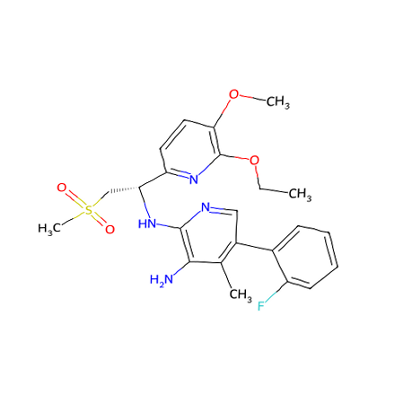 CCOc1nc([C@@H](CS(C)(=O)=O)Nc2ncc(-c3ccccc3F)c(C)c2N)ccc1OC